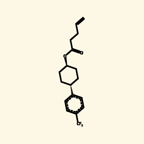 C=CCCC(=O)O[C@H]1CC[C@H](c2ccc(C(F)(F)F)cc2)CC1